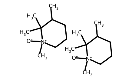 CC1CCC[N+](C)([O-])C1(C)C.CC1CCC[N+](C)([O-])C1(C)C